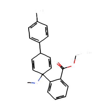 CCCCCCCCNC1(c2ccccc2C(=O)OC[C@@H](C)CC)C=CC(c2ccc(C(=O)O)cc2)C=C1